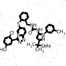 CSC(C)(C)c1cc(NC(=O)NCc2ccccc2Sc2ccc3nnc(-c4cc(O)ccc4Cl)n3c2)n(-c2cccc(C)c2)n1